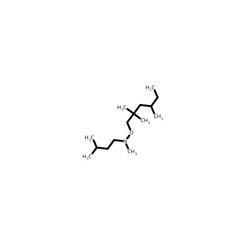 CCC(C)CC(C)(C)CON(C)CCC(C)C